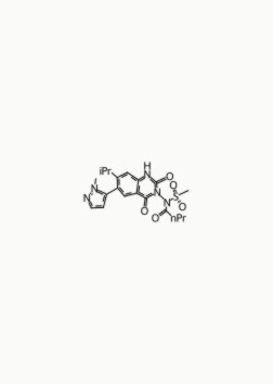 CCCC(=O)N(n1c(=O)[nH]c2cc(C(C)C)c(-c3ccnn3C)cc2c1=O)S(C)(=O)=O